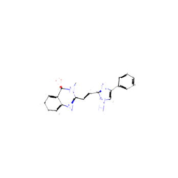 Cn1c(/C=C/c2nc(-c3ccccc3)c[nH]2)nc2c(c1=O)=CCCC=2